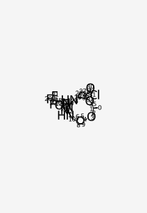 C=C1COc2ccc(cc2)CNc2nc(nc(OCC(F)(F)F)n2)Nc2ccc(C(=O)Cl)c(c2)OC1